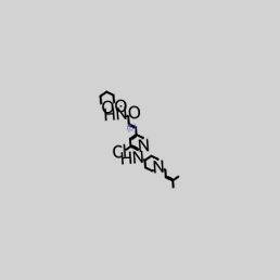 CC(C)=CCN1CCC(Nc2ncc(/C=C/C(=O)NOC3CCCCO3)cc2Cl)CC1